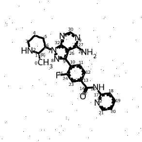 C[C@H]1NCCCC1n1nc(-c2ccc(C(=O)Nc3ccccn3)cc2F)c2c(N)ncnc21